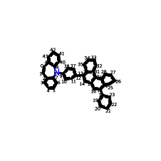 C1=Cc2ccccc2N(c2ccc(-c3cc4cc(-c5ccccc5)c5ccccc5c4c4ccccc34)cc2)c2ccccc21